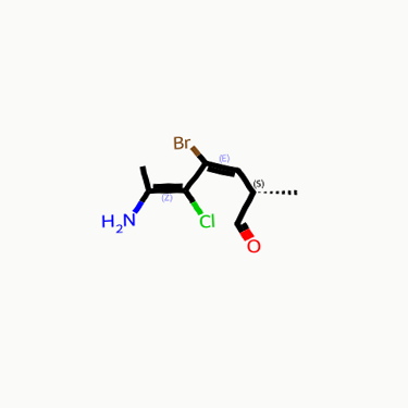 C/C(N)=C(Cl)\C(Br)=C/[C@H](C)C=O